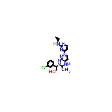 C=C(NC1=C=CN(c2ccnc(NC3CC3)n2)N=C1)NC(CO)c1cccc(Cl)c1